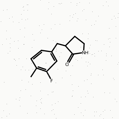 Cc1ccc(CC2CCNC2=O)cc1F